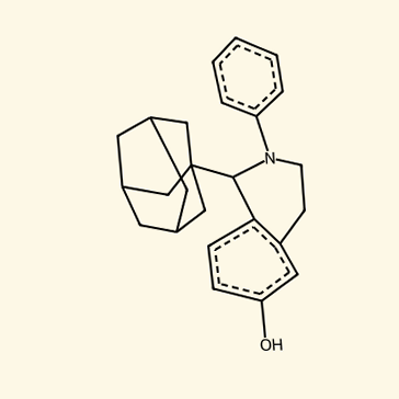 Oc1ccc2c(c1)CCN(c1ccccc1)C2C12CC3CC(CC(C3)C1)C2